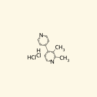 Cc1nccc(-c2ccncc2)c1C.Cl.Cl